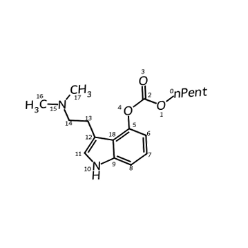 CCCCCOC(=O)Oc1cccc2[nH]cc(CCN(C)C)c12